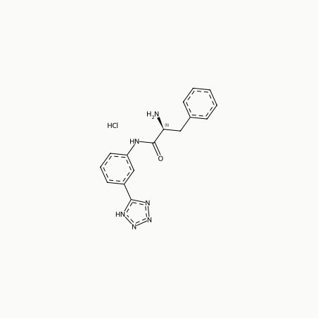 Cl.N[C@@H](Cc1ccccc1)C(=O)Nc1cccc(-c2nnn[nH]2)c1